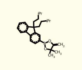 C=C1OB(c2ccc3c(c2)C(CCC(C)C)(CCC(C)C)c2ccccc2-3)OC1(C)C